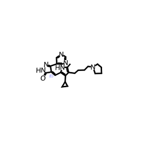 Cc1[nH]c(/C=C2/C(=O)NN=C2c2cncnc2)c(C2CC2)c1CCCCN1CCCC1